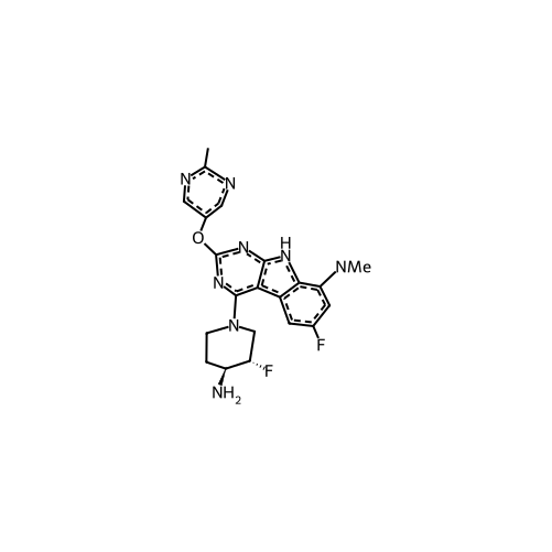 CNc1cc(F)cc2c1[nH]c1nc(Oc3cnc(C)nc3)nc(N3CC[C@H](N)[C@@H](F)C3)c12